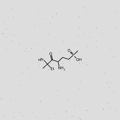 CCCC(C)(CC)C(=O)C(N)CCP(C)(=O)O